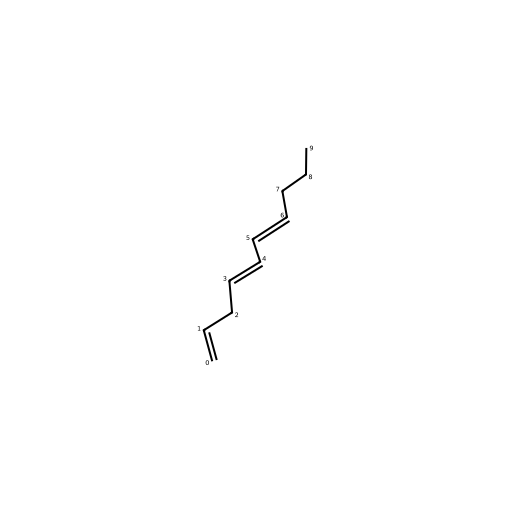 C=CCC=CC=CCCC